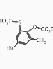 CCOC(=O)Oc1c(C)cc(C(C)(C)C)cc1SC(=O)OCC